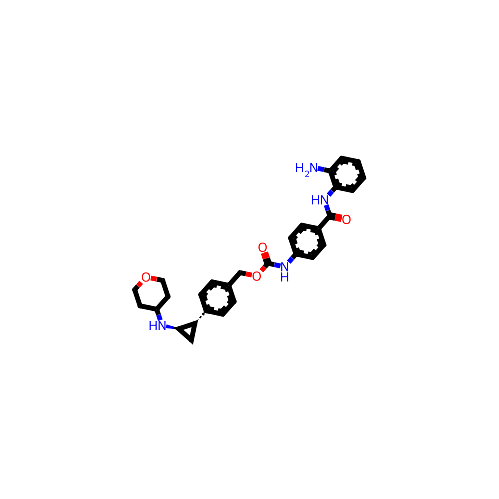 Nc1ccccc1NC(=O)c1ccc(NC(=O)OCc2ccc([C@@H]3C[C@H]3NC3CCOCC3)cc2)cc1